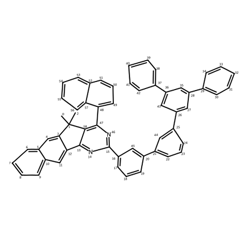 CC1(C)c2cc3ccccc3cc2-c2nc(-c3cccc(-c4cccc(-c5cc(-c6ccccc6)cc(-c6ccccc6)c5)c4)c3)nc(-c3cccc4ccccc34)c21